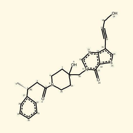 C[C@H](CC(=O)N1CCC(O)(Cn2cnc3c(C#CCO)csc3c2=O)CC1)c1ccccc1